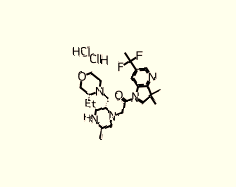 CC[C@@H]1COCCN1C[C@H]1CN[C@H](C)CN1CC(=O)N1CC(C)(C)c2ncc(C(C)(F)F)cc21.Cl.Cl